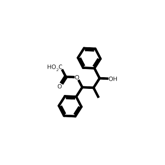 CC(C(O)c1ccccc1)C(OC(=O)C(=O)O)c1ccccc1